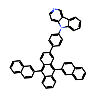 c1ccc2cc(-c3c4ccccc4c(-c4ccc5ccccc5c4)c4cc(-c5ccc(-n6c7ccccc7c7cnccc76)cc5)ccc34)ccc2c1